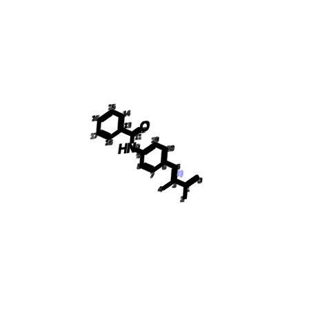 C=C(C)/C(C)=C/c1ccc(NC(=O)c2ccccc2)cc1